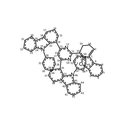 C1=c2c(oc3ccccc23)=C(c2nc(-c3cccc4c5ccccc5n(-c5ccccc5)c34)cc(-c3cccc4c5ccccc5n(-c5ccccc5)c34)n2)CC1